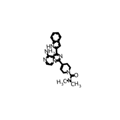 CN(C)C(=O)N1CC=C(c2nc(-c3cc4ccccc4[nH]3)c3c(N)nccn23)CC1